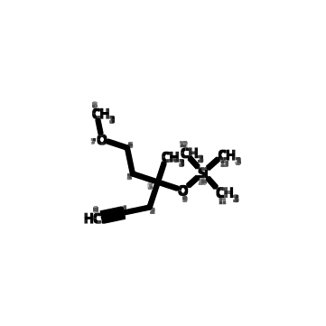 C#CCC(C)(CCOC)O[Si](C)(C)C